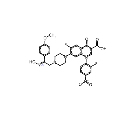 COc1ccc(/C(CN2CCN(c3cc4c(cc3F)c(=O)c(C(=O)O)cn4-c3ccc([N+](=O)[O-])cc3F)CC2)=N\O)cc1